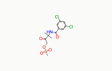 CC(C)(NC(=O)c1cc(Cl)cc(Cl)c1)C(=O)COS(C)(=O)=O